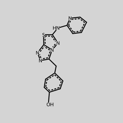 Oc1ccc(Cc2nnc3sc(Nc4ccccn4)nn23)cc1